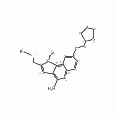 CCCn1c(COCC)nc2c(N)nc3ccc(OCC4CCCO4)cc3c21